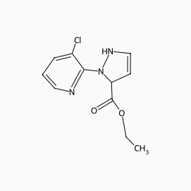 CCOC(=O)C1C=CNN1c1ncccc1Cl